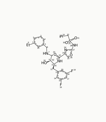 CCc1cccc(CNC[C@H](O)[C@H](Cc2cc(F)cc(F)c2)NC(=O)c2coc(NS(=O)(=O)CC(C)C)n2)c1